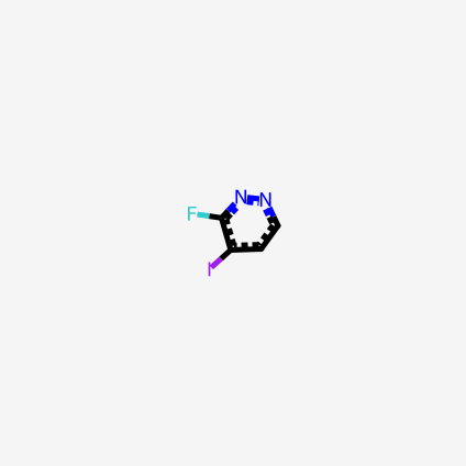 Fc1nnccc1I